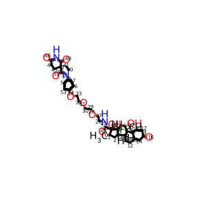 C[C@@H]1C[C@H]2[C@H](C[C@H](O)[C@@]3(F)[C@H]2CCC2=CC(=O)C=C[C@@]23C)[C@@]1(O)C(=O)NCCOCCOCCOc1ccc(N2CC[C@@]3(CCC(=O)NC3=O)C2=O)cc1